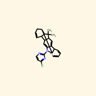 CC1(C)C2C=C3C4=CC2C2C=CCC(C21)[C@]1(C=CC=CC31)N4c1nccc(Cl)n1